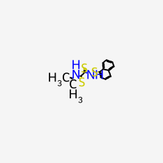 CC(C)NC(=S)C(=S)NSc1cccc2ccccc12